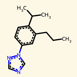 CCCc1cc(-n2cncn2)ccc1C(C)C